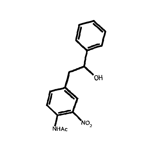 CC(=O)Nc1ccc(CC(O)c2ccccc2)cc1[N+](=O)[O-]